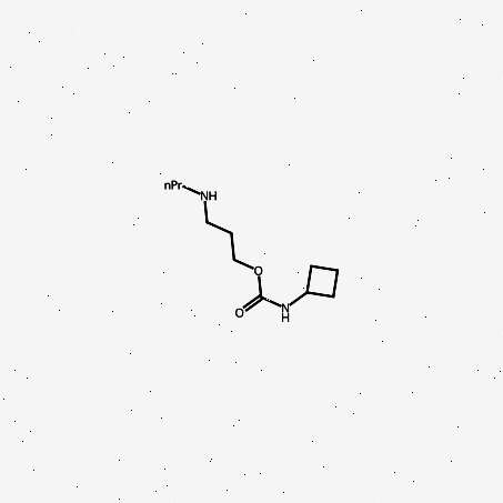 CCCNCCCOC(=O)NC1CCC1